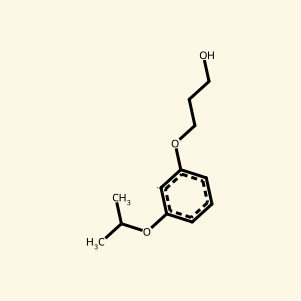 CC(C)Oc1[c]c(OCCCO)ccc1